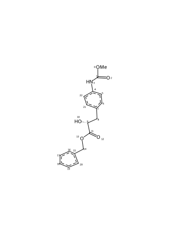 COC(=O)Nc1ccc(C[C@@H](O)C(=O)OCc2ccccc2)cc1